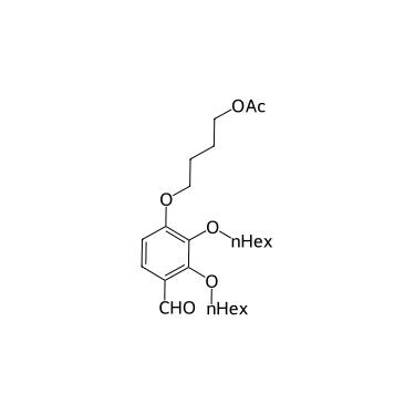 CCCCCCOc1c(C=O)ccc(OCCCCOC(C)=O)c1OCCCCCC